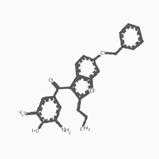 CCCc1oc2cc(OCc3ccccc3)ccc2c1C(=O)c1cc(N)c(O)c(N)c1